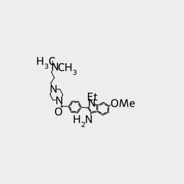 CCn1c(-c2ccc(C(=O)N3CCN(CCCN(C)C)CC3)cc2)c(N)c2ccc(OC)cc21